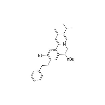 C=C(C)C1=CN2CC(CCCC)c3cc(CCc4ccccc4)c(CC)cc3C2=CC1=C